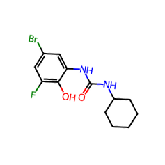 O=C(Nc1cc(Br)cc(F)c1O)NC1CCCCC1